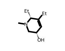 CCC1=C[C@H](O)CN(C)[C@@H]1CC